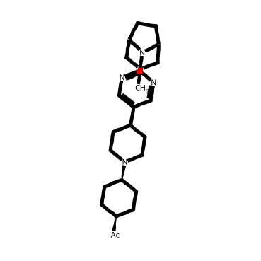 CC(=O)[C@H]1CC[C@@H](N2CCC(c3cnc(N4C5CCC4CN(C)C5)nc3)CC2)CC1